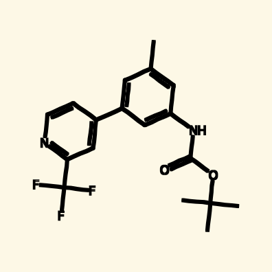 Cc1cc(NC(=O)OC(C)(C)C)cc(-c2ccnc(C(F)(F)F)c2)c1